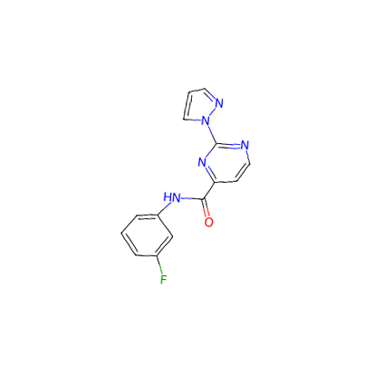 O=C(Nc1cccc(F)c1)c1ccnc(-n2cccn2)n1